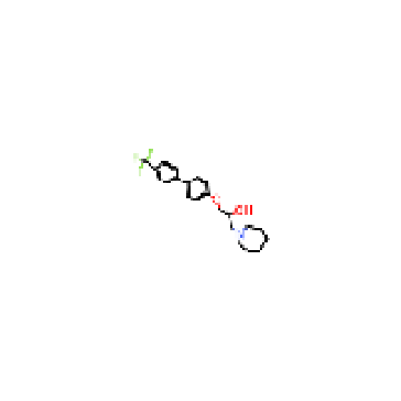 OC(COc1ccc(-c2ccc(C(F)(F)F)cc2)cc1)CN1CCCCCC1